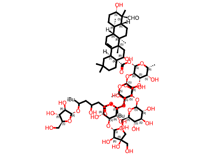 CCC(C)C(CC(O)CC(=O)O[C@H]1[C@@H](O)[C@@H](C)O[C@@H](OC(=O)[C@]23CCC(C)(C)C[C@H]2C2=CC[C@@H]4[C@@]5(C)CC[C@H](O)[C@@](C)(C=O)[C@@H]5CC[C@@]4(C)[C@]2(C)C[C@H]3O)[C@@H]1O[C@@H]1O[C@@H](C)[C@H](O[C@@H]2OC[C@@H](O)[C@H](O[C@@H]3OC[C@](O)(CO)[C@H]3O)[C@H]2O)[C@@H](O[C@@H]2O[C@H](CO)[C@@H](O)[C@H](O)[C@H]2O)[C@H]1O)OC(=O)CC(O)CC(O[C@@H]1O[C@@H](CO)[C@H](O)[C@H]1O)C(C)CC